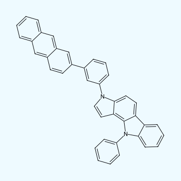 c1ccc(-n2c3ccccc3c3ccc4c(ccn4-c4cccc(-c5ccc6cc7ccccc7cc6c5)c4)c32)cc1